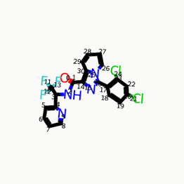 O=C(NC(c1ccccn1)C(F)(F)F)c1nc(-c2ccc(Cl)cc2Cl)n2ccccc12